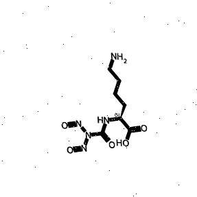 NCCCC[C@H](NC(=O)N(N=O)N=O)C(=O)O